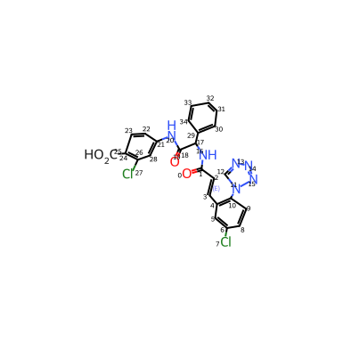 O=C(/C=C/c1cc(Cl)ccc1-n1cnnn1)NC(C(=O)Nc1ccc(C(=O)O)c(Cl)c1)c1ccccc1